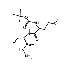 CSCCC(NC(=O)OC(C)(C)C)C(=O)NC(CO)C(=O)NN